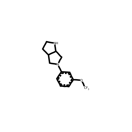 FC(F)(F)Oc1cccc(N2CC3CCNC3C2)c1